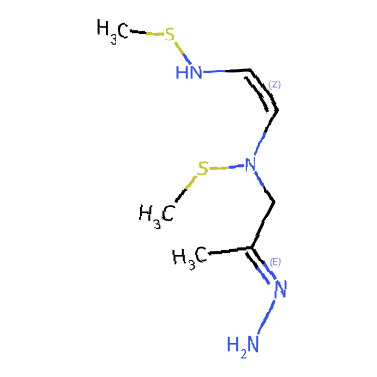 CSN/C=C\N(C/C(C)=N/N)SC